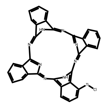 [Cl][Ti][c]1cccc2c3nc4nc(nc5[nH]c(nc6nc(nc([nH]3)c12)-c1ccccc1-6)c1ccccc51)-c1ccccc1-4